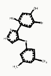 Cc1cc(C)cc(Oc2c[nH]nc2-c2cc(Br)c(O)cc2O)c1